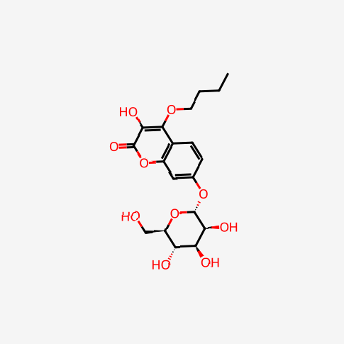 CCCCOc1c(O)c(=O)oc2cc(O[C@H]3O[C@H](CO)[C@@H](O)[C@H](O)[C@@H]3O)ccc12